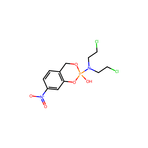 O=[N+]([O-])c1ccc2c(c1)O[P](O)(N(CCCl)CCCl)OC2